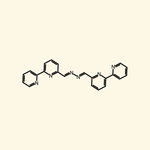 C(=N\N=C\c1cccc(-c2ccccn2)n1)/c1cccc(-c2ccccn2)n1